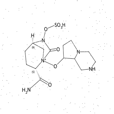 NC(=O)[C@@H]1CC[C@@H]2C[N+]1(OC1CCN3CCNCC13)C(=O)N2OS(=O)(=O)O